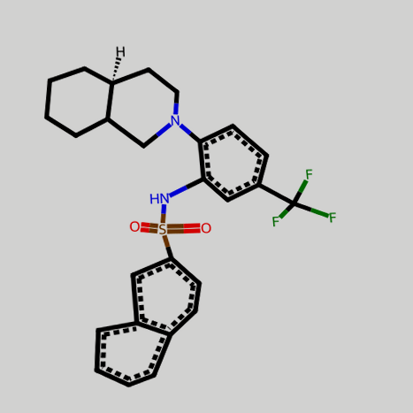 O=S(=O)(Nc1cc(C(F)(F)F)ccc1N1CC[C@@H]2CCCCC2C1)c1ccc2ccccc2c1